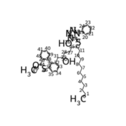 CCCCCCCCCCCCC(Sc1nnnn1-c1ccccc1)C(O)CCC(O)Cc1ccccc1-c1ccccc1C(=S)OC